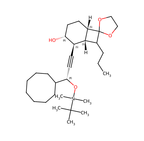 CCCC1[C@@H]2[C@@H](C#C[C@H](O[Si](C)(C)C(C)(C)C)C3CCCCCCC3)[C@H](O)CC[C@@H]2C12OCCO2